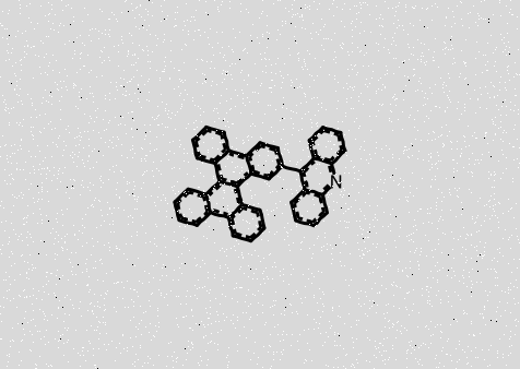 c1ccc2c(-c3ccc4c5ccccc5c5c6ccccc6c6ccccc6c5c4c3)c3ccccc3nc2c1